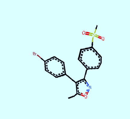 Cc1onc(-c2ccc(S(C)(=O)=O)cc2)c1-c1ccc(Br)cc1